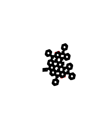 N#Cc1ccc(-c2c(N3c4ccccc4N(c4ccccc4)c4ccccc43)c(N3c4ccccc4N(c4ccccc4)c4ccccc43)nc(N3c4ccccc4N(c4ccccc4)c4ccccc43)c2N2c3ccccc3N(c3ccccc3)c3ccccc32)cc1